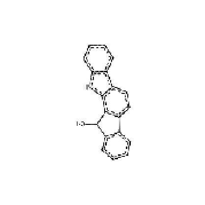 OC1c2ccccc2-c2ccc3c([nH]c4ccccc43)c21